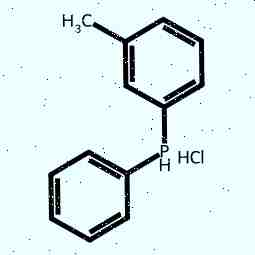 Cc1cccc(Pc2ccccc2)c1.Cl